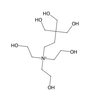 OCC[N+](CCO)(CCO)CCC(CO)(CO)CO